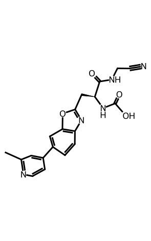 Cc1cc(-c2ccc3nc(C[C@H](NC(=O)O)C(=O)NCC#N)oc3c2)ccn1